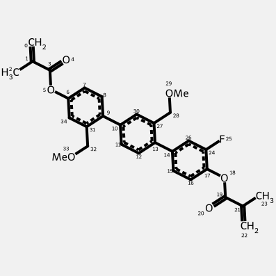 C=C(C)C(=O)Oc1ccc(-c2ccc(-c3ccc(OC(=O)C(=C)C)c(F)c3)c(COC)c2)c(COC)c1